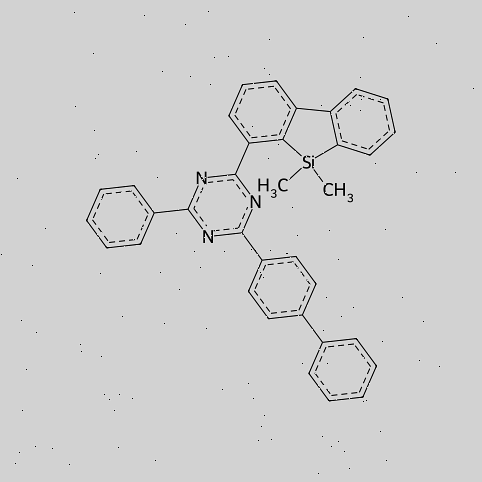 C[Si]1(C)c2ccccc2-c2cccc(-c3nc(-c4ccccc4)nc(-c4ccc(-c5ccccc5)cc4)n3)c21